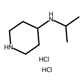 CC(C)NC1CCNCC1.Cl.Cl